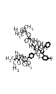 CC(C)[C@H](N)C(=O)N[C@@H](C)C(=O)Nc1ccc(C(=O)N(CCCNC(=O)OCC[Si](C)(C)C)[C@@H](c2cc(-c3cc(F)ccc3F)cn2Cc2ccccc2)C(C)(C)C)cc1